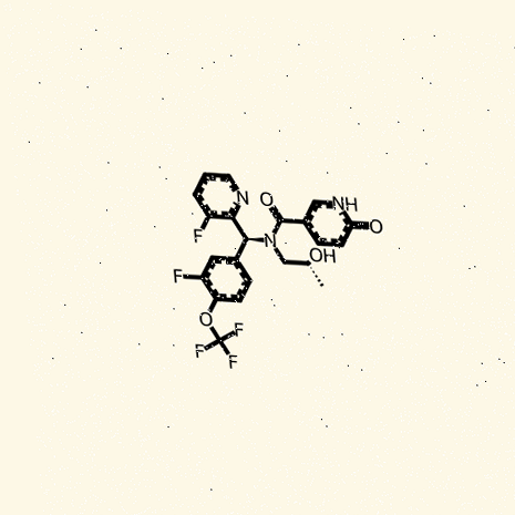 C[C@@H](O)CN(C(=O)c1ccc(=O)[nH]c1)[C@@H](c1ccc(OC(F)(F)F)c(F)c1)c1ncccc1F